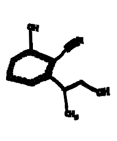 C[C](CO)c1cccc(O)c1C#N